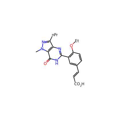 CCCc1nn(C)c2c(=O)[nH]c(-c3cc(C=CC(=O)O)ccc3OCC)nc12